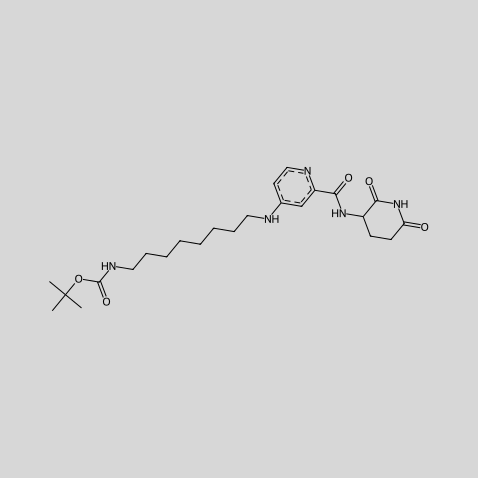 CC(C)(C)OC(=O)NCCCCCCCCNc1ccnc(C(=O)NC2CCC(=O)NC2=O)c1